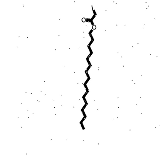 CCCCCCCCCCCCCCCCOC(=O)CI